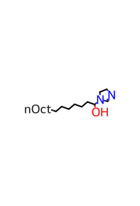 CCCCCCCCCCCCCCC(O)N1C=NCC1